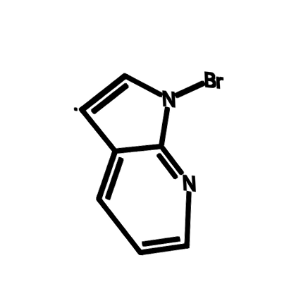 Brn1c[c]c2cccnc21